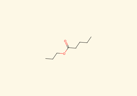 CCC[CH]C(=O)OCCC